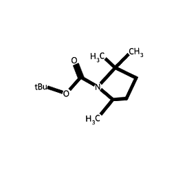 CC1CCC(C)(C)N1C(=O)OC(C)(C)C